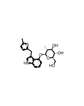 Cc1ccc(Cc2c[nH]c3cccc(O[C@@H]4O[C@H](CO)[C@@H](O)[C@H](O)[C@H]4C)c23)s1